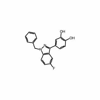 Oc1ccc(-c2nn(Cc3ccccc3)c3ccc(F)cc23)cc1O